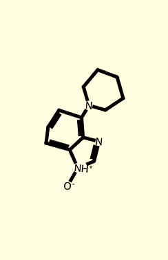 [O-][NH+]1C=Nc2c(N3CCCCC3)cccc21